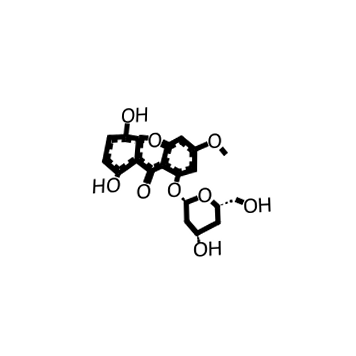 COc1cc(O[C@H]2C[C@@H](O)C[C@@H](CO)O2)c2c(=O)c3c(O)ccc(O)c3oc2c1